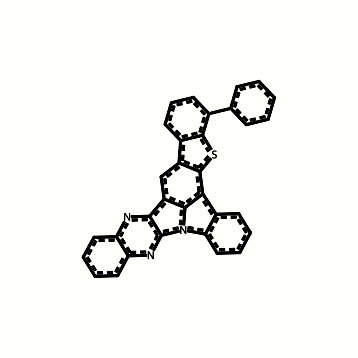 c1ccc(-c2cccc3c2sc2c3cc3c4nc5ccccc5nc4n4c5ccccc5c2c34)cc1